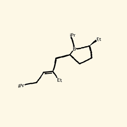 CC/C(=C\CC(C)C)CC1CC[C@H](CC)B1C(C)C